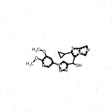 COc1cc(-n2cc(C(O)c3c(C4CC4)sc4cncn34)nn2)cnc1OC